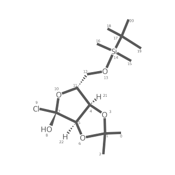 CC1(C)O[C@H]2[C@@H](O1)[C@](O)(Cl)O[C@@H]2CO[Si](C)(C)C(C)(C)C